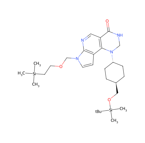 CC(C)(C)[Si](C)(C)OC[C@H]1CC[C@H](N2CNC(=O)c3cnc4c(ccn4COCC[Si](C)(C)C)c32)CC1